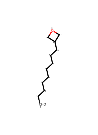 O=CCCCCCCCCC1COC1